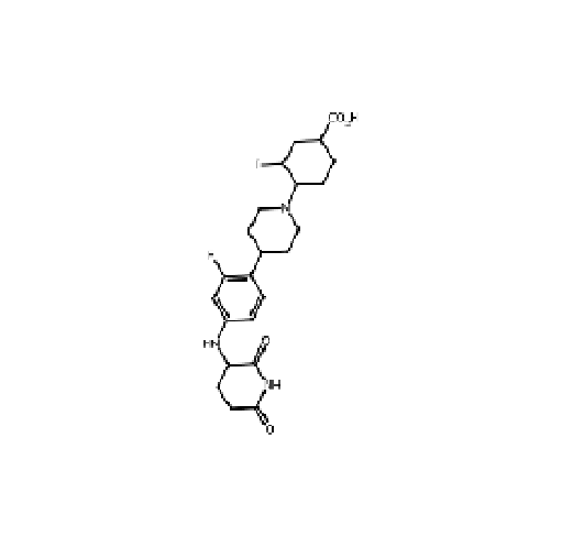 O=C1CCC(Nc2ccc(C3CCN(C4CCC(C(=O)O)CC4F)CC3)c(F)c2)C(=O)N1